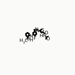 COc1ccccc1Nc1cc2cnn(-c3csc(C(=O)NC4COC4)c3)c2cc1F